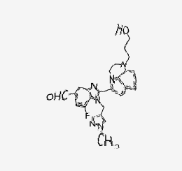 Cn1cc(Cn2c(-c3cc4cccc5c4n3CCN5CCCO)nc3cc(C=O)cc(F)c32)cn1